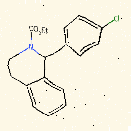 CCOC(=O)N1CCc2ccccc2C1c1ccc(Cl)cc1